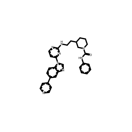 O=C(Nc1ccccc1)N1CCCC(CCNc2nccc(-n3cnc4cc(-c5ccncc5)ccc43)n2)C1